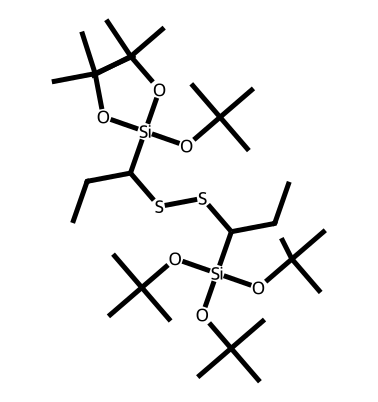 CCC(SSC(CC)[Si](OC(C)(C)C)(OC(C)(C)C)OC(C)(C)C)[Si](OC(C)(C)C)(OC(C)(C)C)OC(C)(C)C